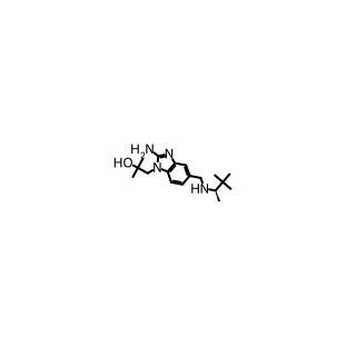 C[C@@H](NCc1ccc2c(c1)nc(N)n2CC(C)(C)O)C(C)(C)C